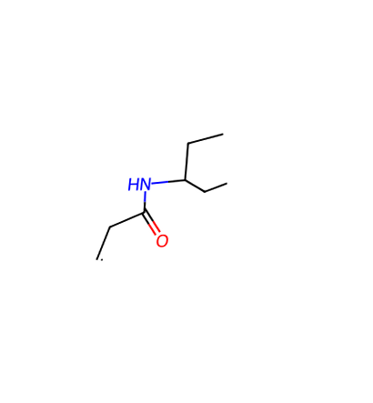 [CH2]CC(=O)NC(CC)CC